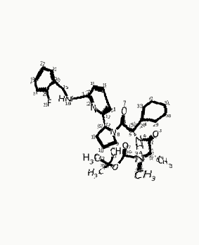 C[C@@H](C(=O)N[C@H](C(=O)N1CCC[C@H]1c1cccc(NCc2ccccc2F)n1)C1CCCCC1)N(C)C(=O)OC(C)(C)C